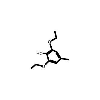 CCOc1cc(C)cc(OCC)c1O